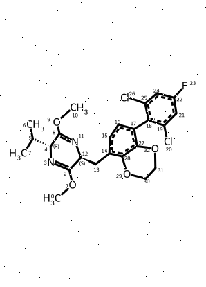 COC1=N[C@H](C(C)C)C(OC)=N[C@H]1Cc1ccc(-c2c(Cl)cc(F)cc2Cl)c2c1OCCO2